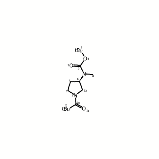 CN(C(=O)OC(C)(C)C)[C@@H]1CCN(C(=O)C(C)(C)C)C1